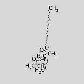 C=C(C)C(=O)O.C=C(C)C(=O)OCCCCCCCCCCCCCC.C=Cc1ccccc1